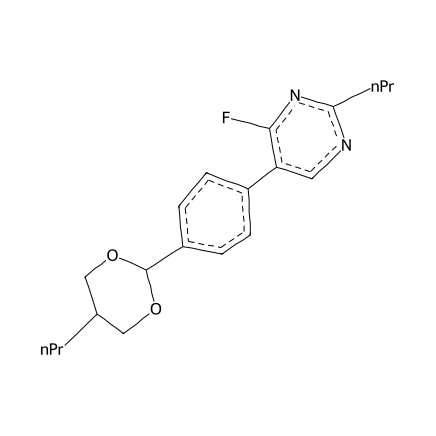 CCCc1ncc(-c2ccc(C3OCC(CCC)CO3)cc2)c(F)n1